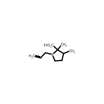 C=CCN1CCC(C)C1(C)C(=O)OCC